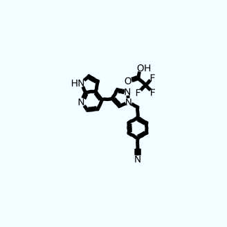 N#Cc1ccc(Cn2cc(-c3ccnc4[nH]ccc34)cn2)cc1.O=C(O)C(F)(F)F